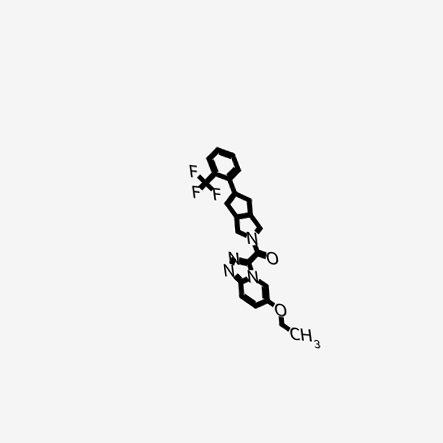 CCOc1ccc2nnc(C(=O)N3CC4CC(c5ccccc5C(F)(F)F)CC4C3)n2c1